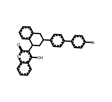 O=c1sc2ccccc2c(O)c1C1CC(c2ccc(-c3ccc(Br)cc3)cc2)Cc2ccccc21